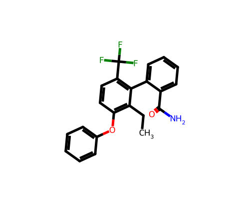 CCc1c(Oc2ccccc2)ccc(C(F)(F)F)c1-c1ccccc1C(N)=O